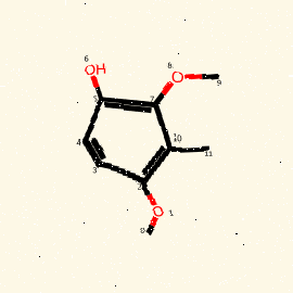 COc1ccc(O)c(OC)c1C